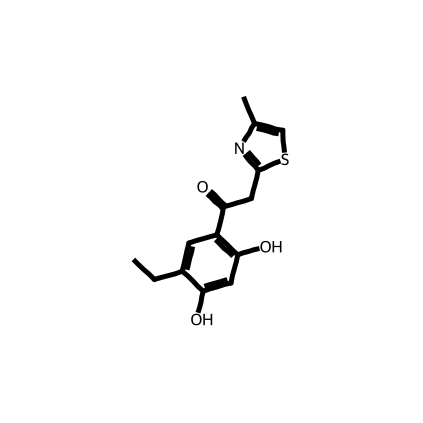 CCc1cc(C(=O)Cc2nc(C)cs2)c(O)cc1O